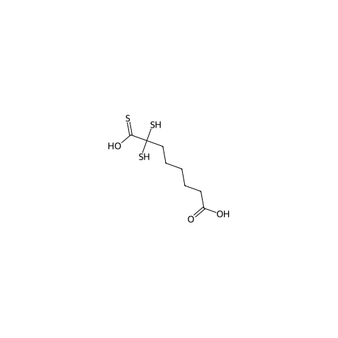 O=C(O)CCCCCC(S)(S)C(O)=S